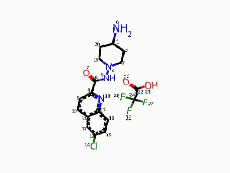 NC1CCN(NC(=O)c2ccc3cc(Cl)ccc3n2)CC1.O=C(O)C(F)(F)F